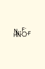 N#[N+]Nc1ccc(F)cc1.[F-]